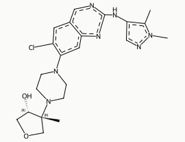 Cc1c(Nc2ncc3cc(Cl)c(N4CCN([C@]5(C)COC[C@@H]5O)CC4)cc3n2)cnn1C